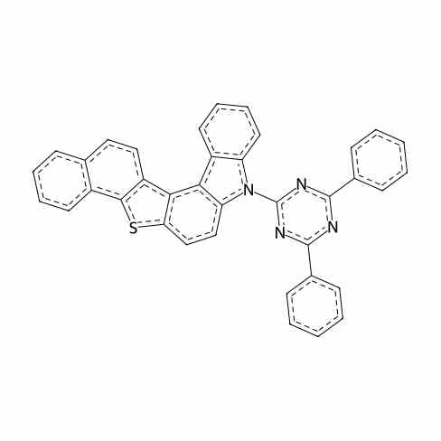 c1ccc(-c2nc(-c3ccccc3)nc(-n3c4ccccc4c4c5c(ccc43)sc3c4ccccc4ccc35)n2)cc1